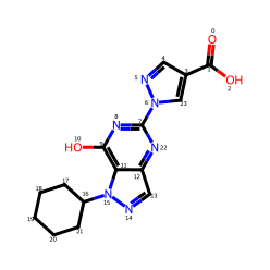 O=C(O)c1cnn(-c2nc(O)c3c(cnn3C3CCCCC3)n2)c1